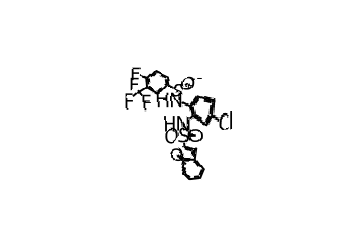 O=S(=O)(Nc1cc(Cl)ccc1N[S+]([O-])c1ccc(F)c(C(F)(F)F)c1)c1cc2ccccc2o1